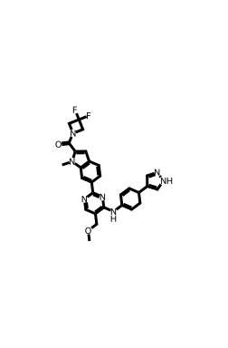 COCc1cnc(-c2ccc3cc(C(=O)N4CC(F)(F)C4)n(C)c3c2)nc1NC1=CCC(c2cn[nH]c2)C=C1